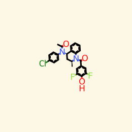 CC(=O)N(c1ccc(Cl)cc1)[C@@H]1C[C@H](C)N(C(=O)c2cc(F)c(O)c(F)c2)c2ccccc21